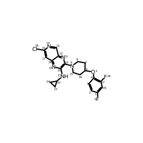 Fc1ccc(OC2CCN(c3nc4cnc(Cl)cc4nc3NC3CC3)CC2)c(F)c1